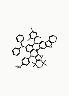 Cc1cc(C)c(N2c3cc4c5c(oc4cc3B3c4oc6c(c4N(c4ccc(C(C)(C)C)cc4)c4cc(N(c7ccccc7)c7ccccc7)cc2c43)C(C)(C)CCC6(C)C)CCC=C5)c(C)c1